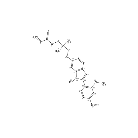 C=CC(=O)OCC(C)(COc1ccc2cc(-c3ccc(CCCCC)cc3OC(F)(F)F)n(C(C)C)c2c1)C(F)(F)F